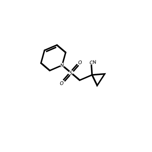 N#CC1(CS(=O)(=O)N2CC=CCC2)CC1